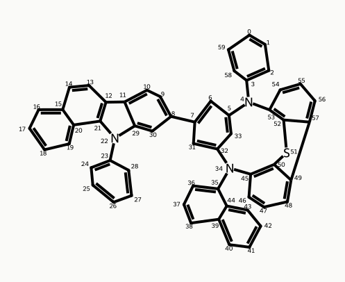 c1ccc(N2c3cc(-c4ccc5c6ccc7ccccc7c6n(-c6ccccc6)c5c4)cc(c3)N(c3cccc4ccccc34)c3cccc4c3sc3c2cccc34)cc1